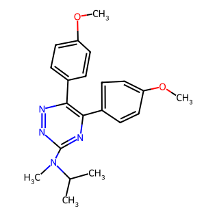 COc1ccc(-c2nnc(N(C)C(C)C)nc2-c2ccc(OC)cc2)cc1